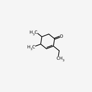 CCC1=CC(C)C(C)CC1=O